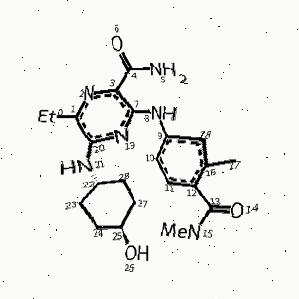 CCc1nc(C(N)=O)c(Nc2ccc(C(=O)NC)c(C)c2)nc1N[C@H]1CC[C@H](O)CC1